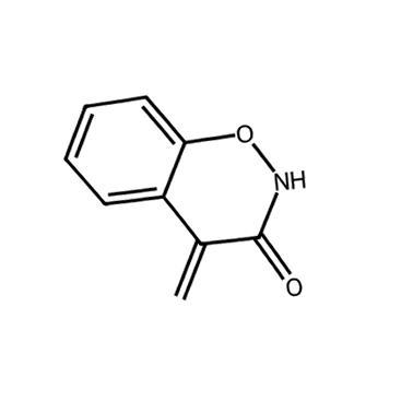 C=C1C(=O)NOc2ccccc21